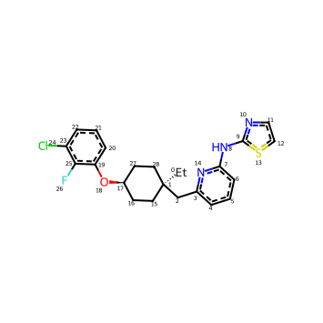 CC[C@]1(Cc2cccc(Nc3nccs3)n2)CC[C@@H](Oc2cccc(Cl)c2F)CC1